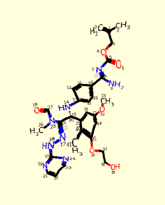 C=C(C)COC(=O)/N=C(\N)c1ccc(N[C@@H](/C(=N/Nc2ncccn2)N(C)C=O)c2cc(OC)cc(OCCO)c2C)cc1